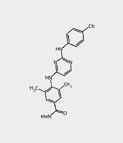 CNC(=O)c1cc(C)c(Nc2ccnc(Nc3ccc(C#N)cc3)n2)c(C)c1